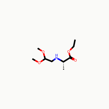 CCOC(=O)[C@H](C)NCC(OC)OC